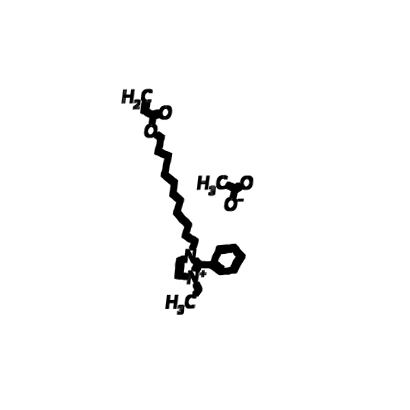 C=CC(=O)OCCCCCCCCCCCn1cc[n+](CC)c1-c1ccccc1.CC(=O)[O-]